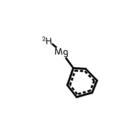 [2H][Mg][c]1ccccc1